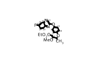 CCOC(=O)C=C(OC)C(C)Oc1ccc(Oc2cnc3cc(F)ccc3n2)cc1